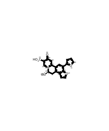 CC(C)(C)[C@@H]1Cc2c(cc(-c3ccco3)c3occc23)-c2cc(=O)c(C(=O)O)cn21